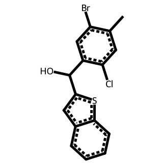 Cc1cc(Cl)c(C(O)c2cc3ccccc3s2)cc1Br